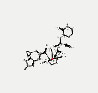 Cn1cc(N[C@@H](CC2CC2)C(=O)N2[C@H]3CC[C@@H]([C@@H]2C(=O)N[C@H](C#N)C[C@H]2CCCNC2=O)C(F)(F)C3)cn1